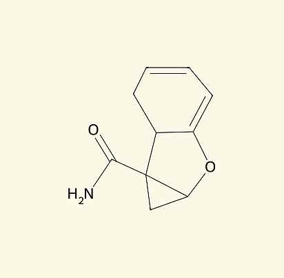 NC(=O)C12CC1OC1=CC=CCC12